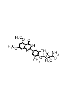 COc1cc(OC)c2c(=O)[nH]c(-c3cc(C)c(OCCC(C)(C)C(N)=O)c(C)c3)nc2c1